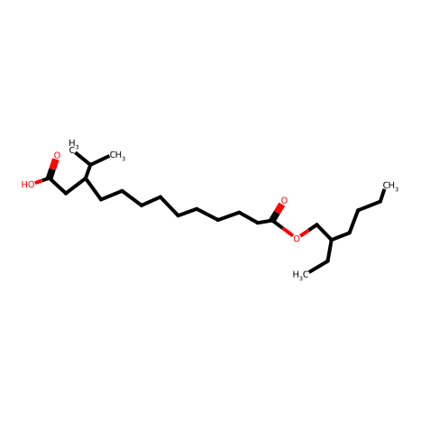 CCCCC(CC)COC(=O)CCCCCCCCCC(CC(=O)O)C(C)C